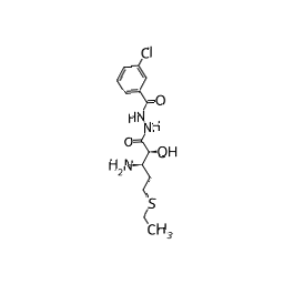 CCSCC[C@@H](N)[C@H](O)C(=O)NNC(=O)c1cccc(Cl)c1